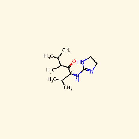 CC(C)C(C)C(=O)[C@@H](NC1=NCCN1)C(C)C